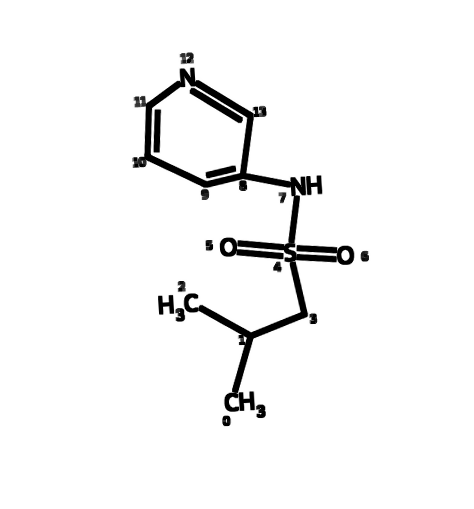 CC(C)CS(=O)(=O)Nc1cccnc1